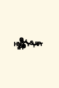 CC(C)CSCCS(=O)(=O)NC(C)C